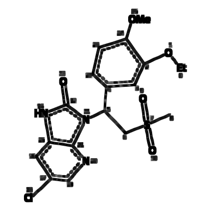 CCOc1cc(C(CS(C)(=O)=O)n2c(=O)[nH]c3cc(Cl)cnc32)ccc1OC